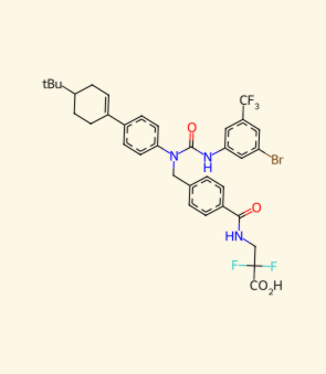 CC(C)(C)C1CC=C(c2ccc(N(Cc3ccc(C(=O)NCC(F)(F)C(=O)O)cc3)C(=O)Nc3cc(Br)cc(C(F)(F)F)c3)cc2)CC1